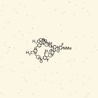 CNc1cc(=O)n(-c2ccnc3c2cc(CN2CCC(c4c(F)cc(C(=O)N5CCC(CN6CCN(Cc7ccc8c(c7)C(C)(C)C(=O)N8[C@@H]7CCC(=O)NC7=O)C[C@@H]6C)CC5)cc4F)CC2)n3C)cc1F